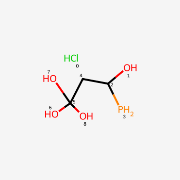 Cl.OC(P)CC(O)(O)O